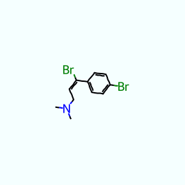 CN(C)C/C=C(/Br)c1ccc(Br)cc1